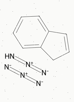 C1=Cc2ccccc2C1.[N-]=[N+]=N.[N-]=[N+]=[N-]